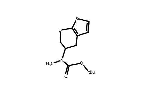 CN(C(=O)OC(C)(C)C)C1COc2sccc2C1